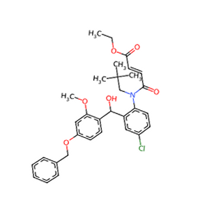 CCOC(=O)/C=C/C(=O)N(CC(C)(C)C)c1ccc(Cl)cc1C(O)c1ccc(OCc2ccccc2)cc1OC